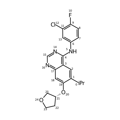 CC(C)c1cc2c(Nc3ccc(F)c(Cl)c3)ncnc2cc1O[C@@H]1CCOC1